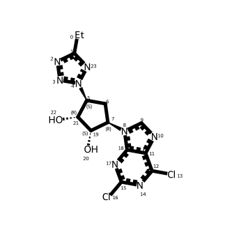 CCc1nnn([C@H]2C[C@@H](n3cnc4c(Cl)nc(Cl)nc43)[C@H](O)[C@@H]2O)n1